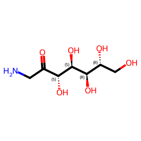 NCC(=O)[C@@H](O)[C@@H](O)[C@H](O)[C@H](O)CO